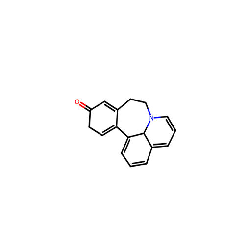 O=C1C=C2CCN3C=CC=C4C=CC=C(C2=CC1)C43